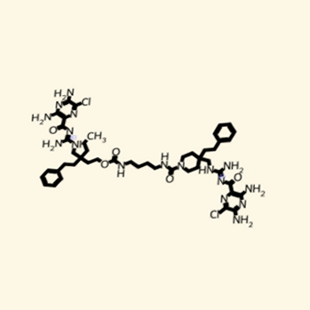 CCCC(CCOC(=O)NCCCCNC(=O)N1CCC(CCc2ccccc2)(CN/C(N)=N/C(=O)c2nc(Cl)c(N)nc2N)CC1)(CCc1ccccc1)CN/C(N)=N/C(=O)c1nc(Cl)c(N)nc1N